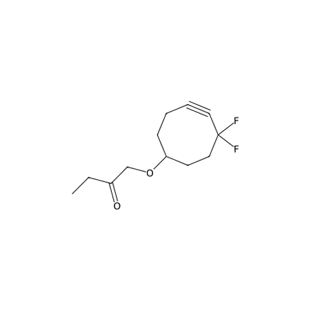 CCC(=O)COC1CCC#CC(F)(F)CC1